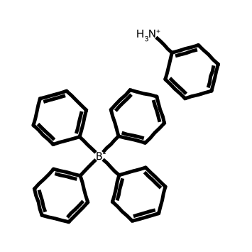 [NH3+]c1ccccc1.c1ccc([B-](c2ccccc2)(c2ccccc2)c2ccccc2)cc1